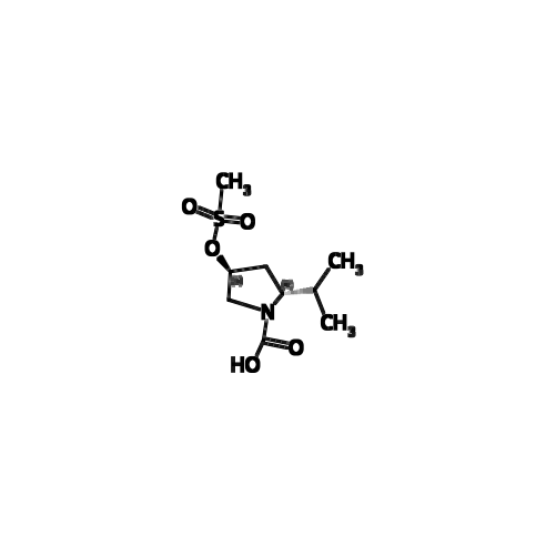 CC(C)[C@H]1C[C@H](OS(C)(=O)=O)CN1C(=O)O